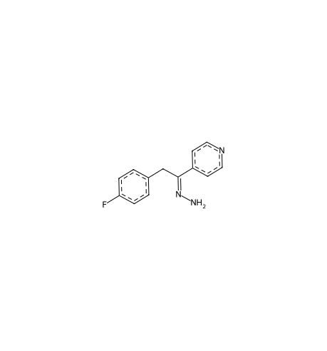 NN=C(Cc1ccc(F)cc1)c1ccncc1